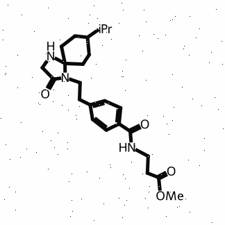 COC(=O)CCNC(=O)c1ccc(CCN2C(=O)CNC23CCC(C(C)C)CC3)cc1